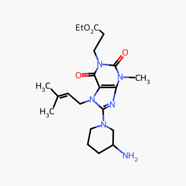 CCOC(=O)CCn1c(=O)c2c(nc(N3CCCC(N)C3)n2CC=C(C)C)n(C)c1=O